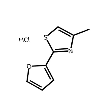 Cc1csc(-c2ccco2)n1.Cl